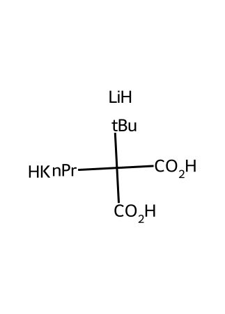 CCCC(C(=O)O)(C(=O)O)C(C)(C)C.[KH].[LiH]